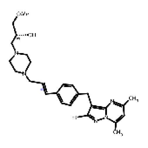 CCc1nn2c(C)cc(C)nc2c1Cc1ccc(/C=C/CN2CCN(C[C@@H](O)COC)CC2)cc1